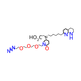 [N-]=[N+]=NCCOCCOCCOCCn1cc([C@@H](CCCCCCc2ccc3c(n2)NCCC3)CC(=O)O)ccc1=O